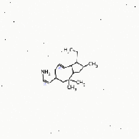 CCC1C(C)CC2C1/C=C/CC(/C=C\N)CC2(C)C